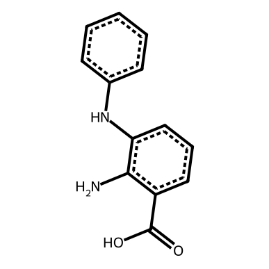 Nc1c(Nc2ccccc2)cccc1C(=O)O